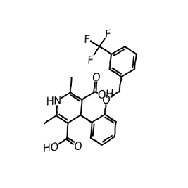 CC1=C(C(=O)O)C(c2ccccc2OCc2cccc(C(F)(F)F)c2)C(C(=O)O)=C(C)N1